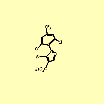 CCOC(=O)c1cnn(-c2c(Cl)cc(C(F)(F)F)cc2Cl)c1Br